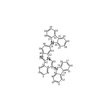 c1ccc2c(c1)c(-n1c3ccccc3c3ccccc31)cn1c3cc(-n4c5ccccc5c5ccccc54)ccc3nc21